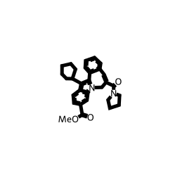 COC(=O)c1ccc2c(C3CCCCC3)c3n(c2c1)CC(C(=O)N1CCCC1)=Cc1ccccc1-3